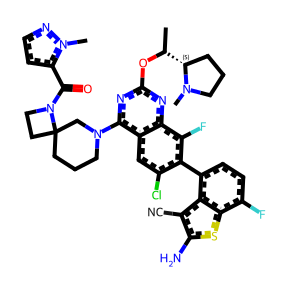 CC(Oc1nc(N2CCCC3(CCN3C(=O)c3ccnn3C)C2)c2cc(Cl)c(-c3ccc(F)c4sc(N)c(C#N)c34)c(F)c2n1)[C@@H]1CCCN1C